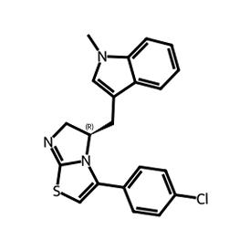 Cn1cc(C[C@@H]2CN=C3SC=C(c4ccc(Cl)cc4)N32)c2ccccc21